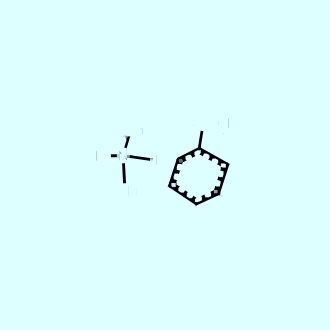 CC(C)[N+](C(C)C)(C(C)C)C(C)C.O=C(O)c1ccccc1